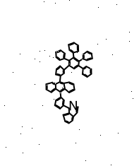 c1ccc(-c2cc(-c3cccc(-c4c5ccccc5c(-c5cccc(-c6nccc7ccccc67)c5)c5ccccc45)c3)c(-c3ccccc3)c(-c3ccccc3)c2-c2ccccc2)cc1